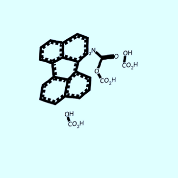 NC(=O)OC(=O)O.O=C(O)O.O=C(O)O.c1cc2cccc3c4cccc5cccc(c(c1)c23)c54